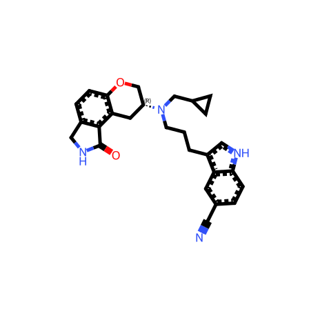 N#Cc1ccc2[nH]cc(CCCN(CC3CC3)[C@H]3COc4ccc5c(c4C3)C(=O)NC5)c2c1